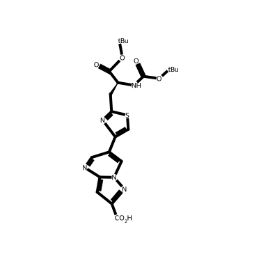 CC(C)(C)OC(=O)N[C@@H](Cc1nc(-c2cnc3cc(C(=O)O)nn3c2)cs1)C(=O)OC(C)(C)C